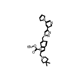 CC1(C)CCN(Cc2cc3ccc(Cn4cc(-c5cncc(N6CC=CC6)c5)nn4)cc3n2C(=O)OC(C)(C)C)CC1